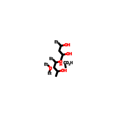 CC(=O)O.CCC(O)CC(C)O.CCC(O)CC(C)O.CCOCC